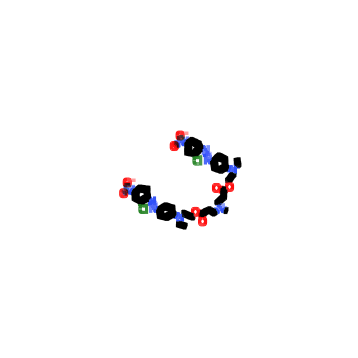 CCN(CCOC(=O)CCN(C)CCC(=O)OCCN(CC)c1ccc(/N=N/c2ccc([N+](=O)[O-])cc2Cl)cc1)c1ccc(/N=N/c2ccc([N+](=O)[O-])cc2Cl)cc1